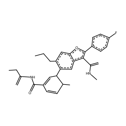 C=C(CC)NC(=O)C1=CC(c2cc3c(C(=C)NC)c(-c4ccc(F)cc4)oc3cc2CCC)C(C)C=C1